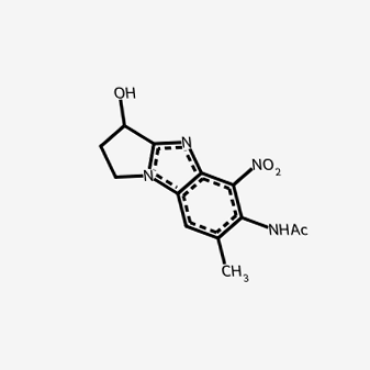 CC(=O)Nc1c(C)cc2c(nc3n2CCC3O)c1[N+](=O)[O-]